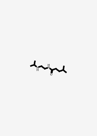 CC(C)CCC(=O)NCCNC(C)C